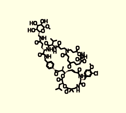 COc1ccc(C[C@H]2NC(=O)/C=C/C[C@@H]([C@H](C)[C@H]3O[C@@H]3c3ccc(CNC(=O)[C@H](CCC(=O)NC[C@H]4O[C@@H](OC)[C@H](O)[C@@H](O)[C@@H]4O)NC(=O)[C@@H](NC(=O)CCN(CCC(=O)O)C(=O)CCC(=O)CCCS(=O)(=O)O)C(C)C)cc3)OC(=O)[C@H](CC(C)C)OC(=O)C(C)(C)CNC2=O)cc1Cl